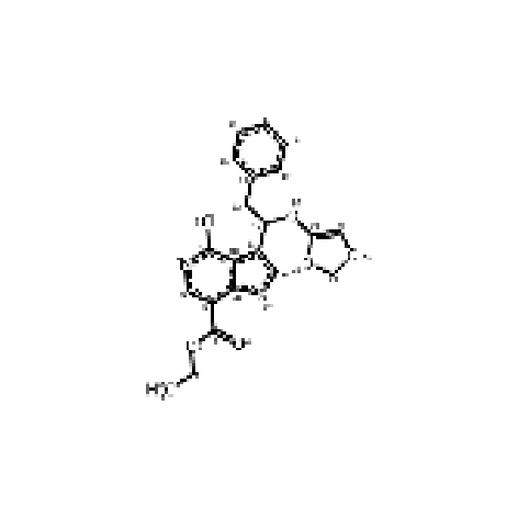 CCOC(=O)c1cnc(Cl)c2c(C(Cc3ccccc3)OC3=COCO3)csc12